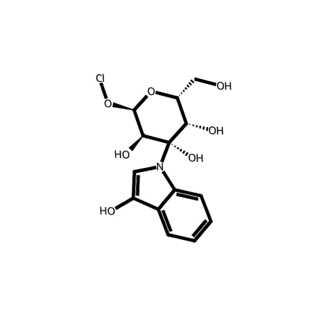 OC[C@H]1O[C@H](OCl)[C@H](O)[C@](O)(n2cc(O)c3ccccc32)[C@H]1O